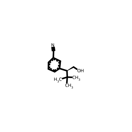 CC(C)(C)[C@H](CO)c1cccc(C#N)c1